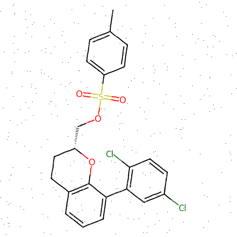 Cc1ccc(S(=O)(=O)OC[C@H]2CCc3cccc(-c4cc(Cl)ccc4Cl)c3O2)cc1